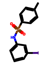 Cc1ccc(S(=O)(=O)Nc2cccc(I)c2)cc1